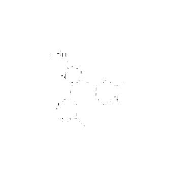 CCCCc1nc(-c2cccc(C)c2)c(-c2ccnc(C)c2)s1